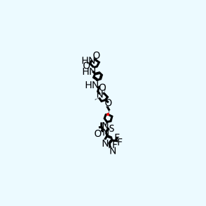 C[C@@H]1CC(OCC[C@H]2CC[C@H](N3C(=S)N(c4cnc(C#N)c(C(F)(F)F)c4)C(=O)C3(C)C)CC2)C[C@H](C)N1CC(=O)Nc1cccc(NC2CCC(=O)NC2=O)c1